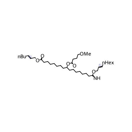 CCCC/C=C/COC(=O)CCCCCCCC(CCCCCCCC(=N)OC/C=C/CCCCCC)OC(=O)CCCOC